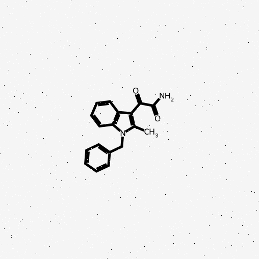 Cc1c(C(=O)C(N)=O)c2[c]cccc2n1Cc1ccccc1